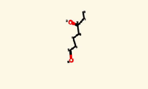 CCC(=O)CCCC=O